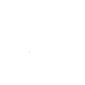 Clc1ccccc1C=CC1=NCCc2cc(OCc3ccccc3)ccc21